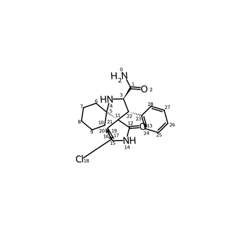 NC(=O)[C@@H]1NC2(CCCCC2)[C@@]2(C(=O)Nc3cc(Cl)ccc32)[C@H]1c1ccccc1